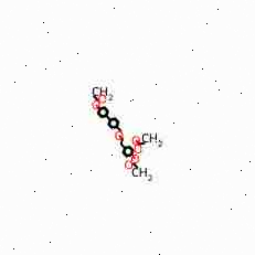 C=CC(=O)Oc1ccc(-c2ccc(COCCc3ccc(OC(=O)C=C)c(OC(=O)C=C)c3)cc2)cc1